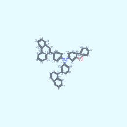 c1cc(-c2cccc3ccccc23)cc(N(c2ccc(-c3cc4ccccc4c4ccccc34)cc2)c2ccc3c(c2)oc2ccccc23)c1